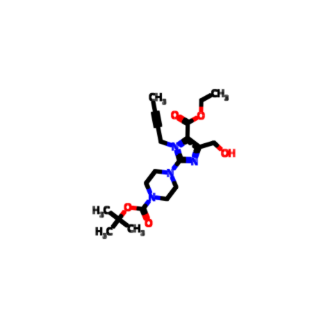 CC#CCn1c(N2CCN(C(=O)OC(C)(C)C)CC2)nc(CO)c1C(=O)OCC